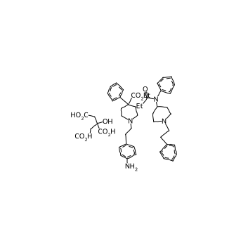 CCC(=O)N(c1ccccc1)C1CCN(CCc2ccccc2)CC1.CCOC(=O)C1(c2ccccc2)CCN(CCc2ccc(N)cc2)CC1.O=C(O)CC(O)(CC(=O)O)C(=O)O